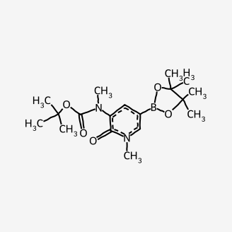 CN(C(=O)OC(C)(C)C)c1cc(B2OC(C)(C)C(C)(C)O2)cn(C)c1=O